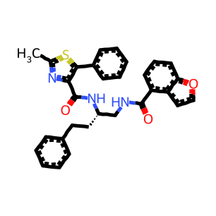 Cc1nc(C(=O)N[C@@H](CCc2ccccc2)CNC(=O)c2cccc3occc23)c(-c2ccccc2)s1